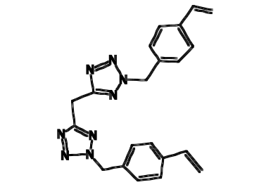 C=Cc1ccc(Cn2nnc(Cc3nnn(Cc4ccc(C=C)cc4)n3)n2)cc1